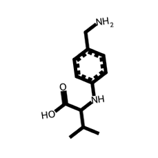 CC(C)C(Nc1ccc(CN)cc1)C(=O)O